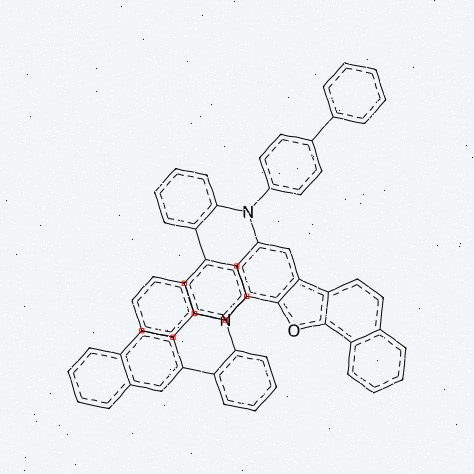 c1ccc(-c2ccc(N(c3cc(N(c4ccccc4)c4ccccc4-c4ccc5ccccc5c4)c4oc5c6ccccc6ccc5c4c3)c3ccccc3-c3ccccc3)cc2)cc1